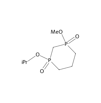 COP1(=O)CCCP(=O)(OC(C)C)C1